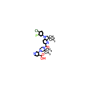 CC1(C)CN(c2ccc(Cl)c(F)c2)c2ccc(C(=O)N3CCN(c4cnccc4C(=O)O)CC3(C)C)nc21